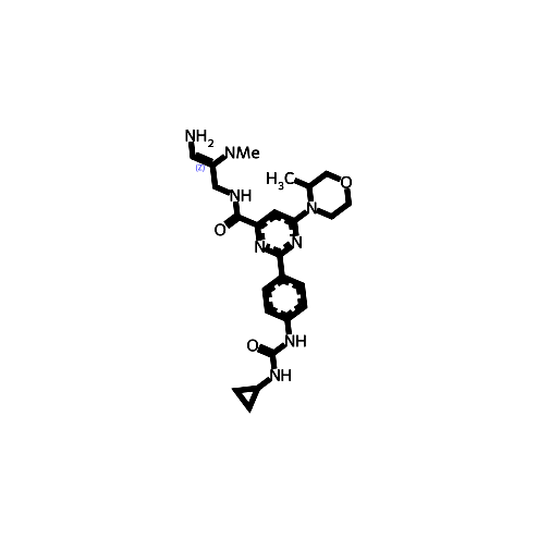 CN/C(=C\N)CNC(=O)c1cc(N2CCOCC2C)nc(-c2ccc(NC(=O)NC3CC3)cc2)n1